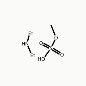 CCNCC.COS(=O)(=O)O